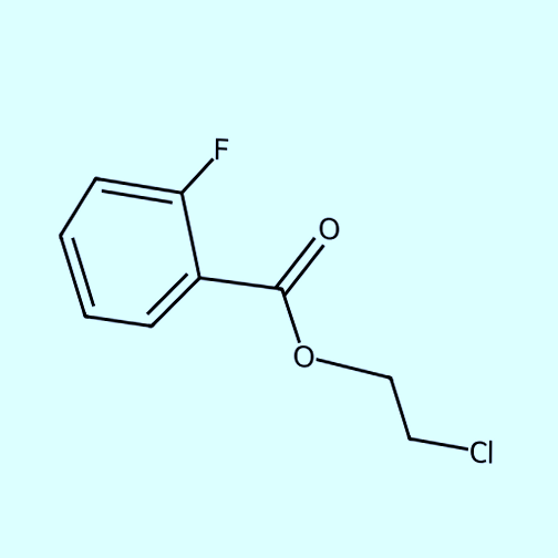 O=C(OCCCl)c1ccccc1F